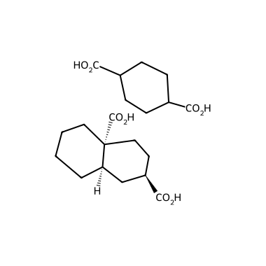 O=C(O)C1CCC(C(=O)O)CC1.O=C(O)[C@@H]1CC[C@]2(C(=O)O)CCCC[C@@H]2C1